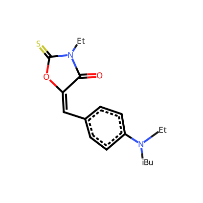 CCC(C)N(CC)c1ccc(/C=C2/OC(=S)N(CC)C2=O)cc1